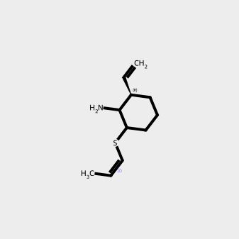 C=C[C@H]1CCCC(S/C=C\C)C1N